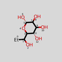 CCC(O)C1O[C@H](O)C(O)C(O)[C@@H]1O